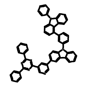 c1ccc(-c2nc(-c3ccccc3)nc(-c3cncc(-c4ccc5c(c4)c4ccccc4n5-c4cccc(-c5cccc6c5c5ccccc5n6-c5ccccc5)c4)c3)n2)cc1